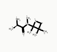 C[C@@H](N)C(=O)N(C)C1(C)SCC1(C)C